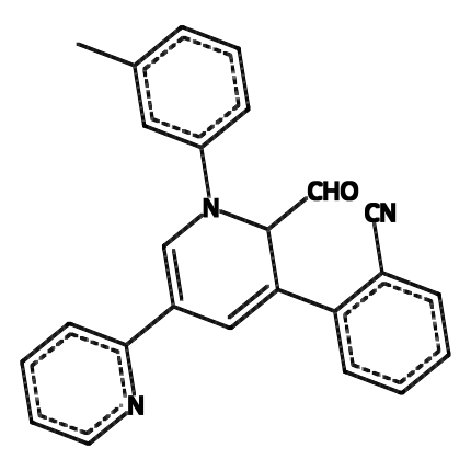 Cc1cccc(N2C=C(c3ccccn3)C=C(c3ccccc3C#N)C2C=O)c1